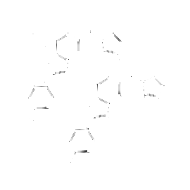 Cl.Cl.Cl.Cl.Clc1ccc(-c2nc3cc(Cn4ccnc4)ccc3[nH]2)cc1.Clc1ccc(-c2nc3cc(Cn4ccnc4)ccc3[nH]2)cc1.O